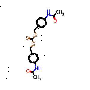 CC(=O)Nc1ccc(CSC(=S)SCc2ccc(NC(C)=O)cc2)cc1